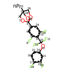 CCCC12COC(c3cc(F)c(C(F)(F)Oc4ccc(F)c(F)c4)c(F)c3)(OC1)OC2